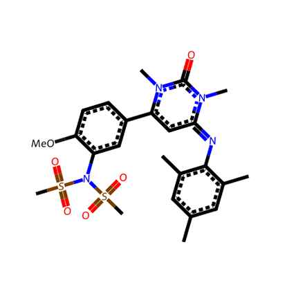 COc1ccc(-c2cc(=Nc3c(C)cc(C)cc3C)n(C)c(=O)n2C)cc1N(S(C)(=O)=O)S(C)(=O)=O